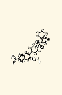 Cc1cc2nc(C(F)F)nn2cc1C1CCN(S(=O)(=O)c2cnn3c2CCCC3)CC1